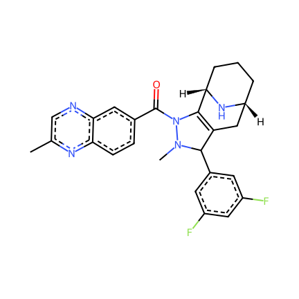 Cc1cnc2cc(C(=O)N3C4=C(C[C@H]5CCC[C@@H]4N5)C(c4cc(F)cc(F)c4)N3C)ccc2n1